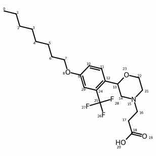 CCCCCCCCOc1ccc(C2CN(CCC(=O)O)CCO2)c(C(F)(F)F)c1